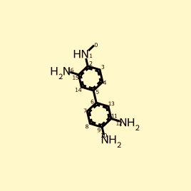 CNc1ccc(-c2ccc(N)c(N)c2)cc1N